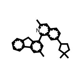 Cc1cc2c(c(-c3nc(C)cc4ccc(C5CCC(C)(C)C5)cc34)c1)Cc1ccccc1-2